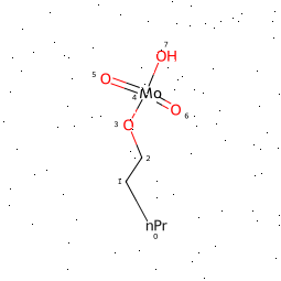 CCCCC[O][Mo](=[O])(=[O])[OH]